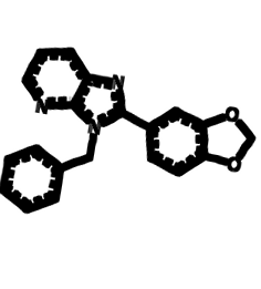 c1ccc(Cn2c(-c3ccc4c(c3)OCO4)nc3cccnc32)cc1